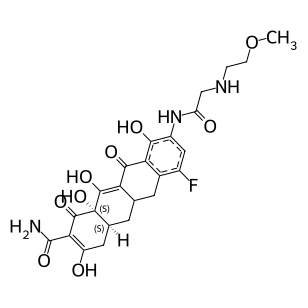 COCCNCC(=O)Nc1cc(F)c2c(c1O)C(=O)C1=C(O)[C@]3(O)C(=O)C(C(N)=O)=C(O)C[C@@H]3CC1C2